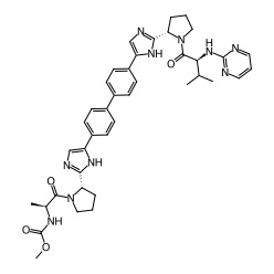 COC(=O)N[C@@H](C)C(=O)N1CCC[C@H]1c1ncc(-c2ccc(-c3ccc(-c4cnc([C@@H]5CCCN5C(=O)[C@@H](Nc5ncccn5)C(C)C)[nH]4)cc3)cc2)[nH]1